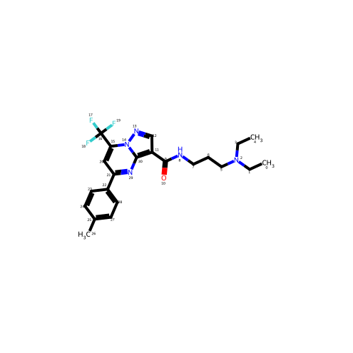 CCN(CC)CCCNC(=O)c1cnn2c(C(F)(F)F)cc(-c3ccc(C)cc3)nc12